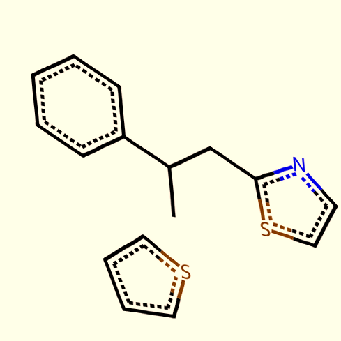 CC(Cc1nccs1)c1ccccc1.c1ccsc1